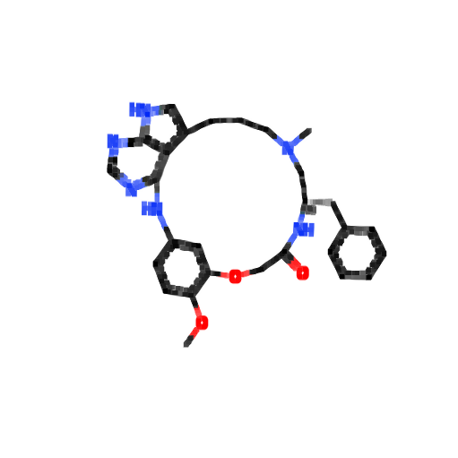 COc1ccc2cc1OCC(=O)N[C@@H](Cc1ccccc1)CN(C)CCCc1c[nH]c3ncnc(c13)N2